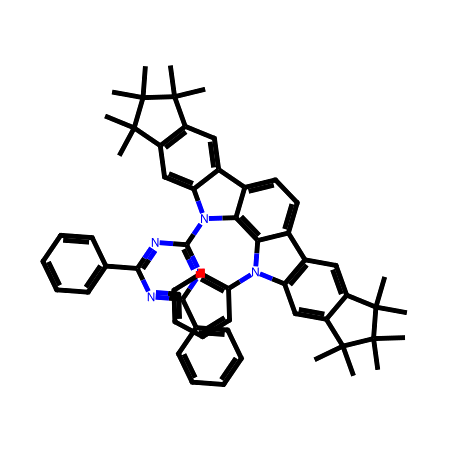 CC1(C)c2cc3c4ccc5c6cc7c(cc6n(-c6nc(-c8ccccc8)nc(-c8ccccc8)n6)c5c4n(-c4ccccc4)c3cc2C(C)(C)C1(C)C)C(C)(C)C(C)(C)C7(C)C